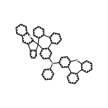 c1ccc(N(c2ccc3c(c2)-c2ccccc2-c2ccccc2O3)c2ccc3c(c2)-c2ccccc2-c2ccccc2C32c3ccccc3-c3cc4ccccc4cc32)cc1